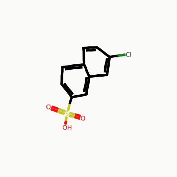 O=S(=O)(O)c1ccc2ccc(Cl)cc2c1